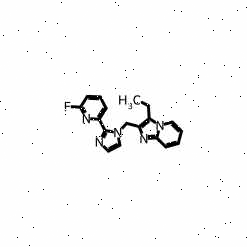 CCc1c(Cn2ccnc2-c2cccc(F)n2)nc2ccccn12